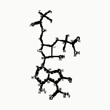 CC(C)(C)C(=O)OCC1OC(n2cnc(N)c3c(C(N)=O)c(Br)nc2-3)C(O)C1CC(C)(C)C(=O)O